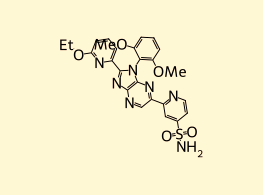 CCOc1cccc(-c2nc3ncc(-c4cc(S(N)(=O)=O)ccn4)nc3n2-c2c(OC)cccc2OC)n1